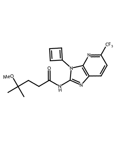 COC(C)(C)CCC(=O)Nc1nc2ccc(C(F)(F)F)nc2n1C1=CC=C1